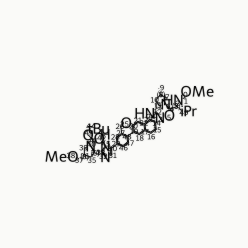 COCN[C@H](C(=O)N1C[C@@H](C)C[C@H]1c1nc2ccc3cc4c(cc3c2[nH]1)OCc1cc(-c2cnc([C@@H]3C[C@H](COC)CN3C(=O)OC(C)(C)C)[nH]2)ccc1-4)C(C)C